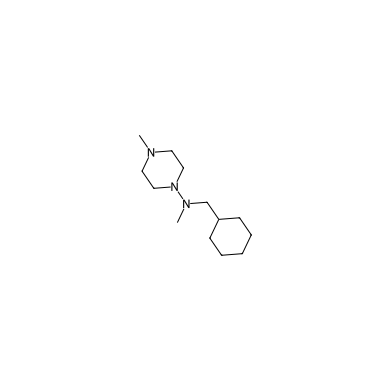 CN1CCN(N(C)CC2CCCCC2)CC1